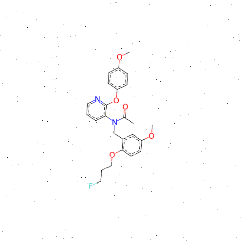 COc1ccc(Oc2ncccc2N(Cc2cc(OC)ccc2OCCCF)C(C)=O)cc1